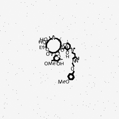 CC[C@H]1OC(=O)[C@H](C)C([C@H]2C[C@@](C)(OC)[C@@H](O)[C@H](C)O2)[C@H](C)[C@@H](O[C@@H]2O[C@H](C)C[C@H](N(C)CCc3cn(CCOCc4ccc(OC)cc4)nn3)[C@H]2O)[C@](C)(O)C[C@@H](C)CN(C)[C@H](C)[C@@H](O)[C@]1(C)O